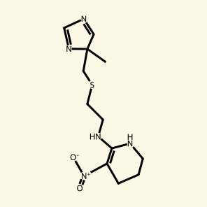 CC1(CSCCNC2=C([N+](=O)[O-])CCCN2)C=NC=N1